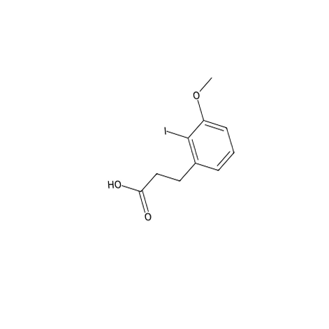 COc1cccc(CCC(=O)O)c1I